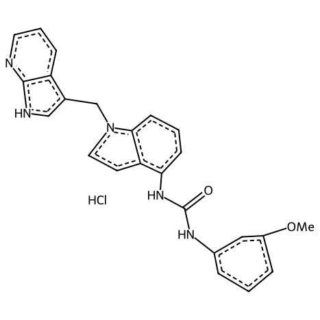 COc1cccc(NC(=O)Nc2cccc3c2ccn3Cc2c[nH]c3ncccc23)c1.Cl